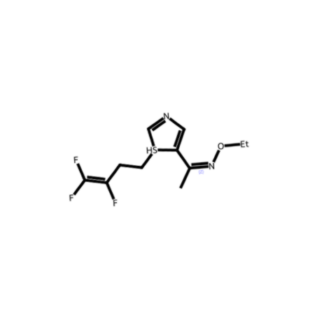 CCO/N=C(/C)C1=CN=C[SH]1CCC(F)=C(F)F